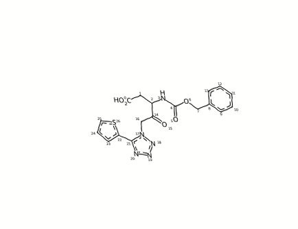 O=C(O)CC(NC(=O)OCc1ccccc1)C(=O)Cn1nnnc1-c1cccs1